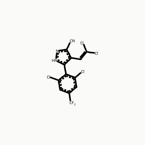 N#Cc1n[nH]c(-c2c(Cl)cc(C(F)(F)F)cc2Cl)c1C=C(Cl)Cl